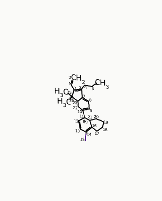 C=CC1=C(CCC)C2=CC=C([C@@H]3C=CC(I)=C4CCCCC43)CC2C1(C)C